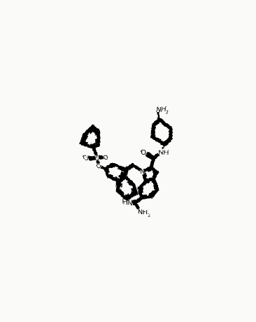 N=C(N)c1ccc2cc(C(=O)N[C@H]3CC[C@H](N)CC3)n(Cc3cc(OS(=O)(=O)c4ccccc4)cc4ccccc34)c2c1